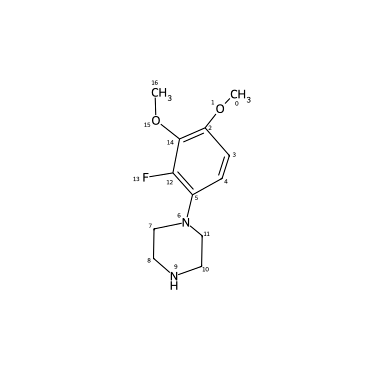 COc1ccc(N2CCNCC2)c(F)c1OC